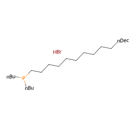 Br.CCCCCCCCCCCCCCCCCCCCP(CCCC)CCCC